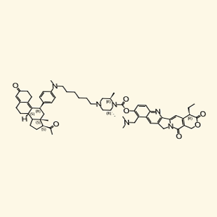 CC[C@H]1C(=O)OCc2c1cc1n(c2=O)Cc2cc3c(CN(C)C)c(OC(=O)N4[C@H](C)CN(CCCCCCN(C)c5ccc([C@H]6C[C@@]7(C)C(CC[C@@H]7C(C)=O)[C@@H]7CCC8=CC(=O)CCC8=C76)cc5)C[C@H]4C)ccc3nc2-1